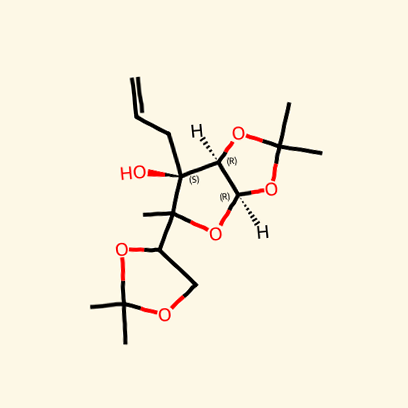 C=CC[C@]1(O)[C@H]2OC(C)(C)O[C@H]2OC1(C)C1COC(C)(C)O1